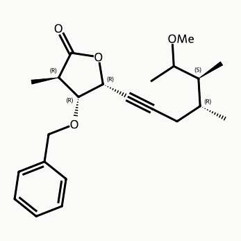 COC(C)[C@@H](C)[C@H](C)CC#C[C@H]1OC(=O)[C@H](C)[C@H]1OCc1ccccc1